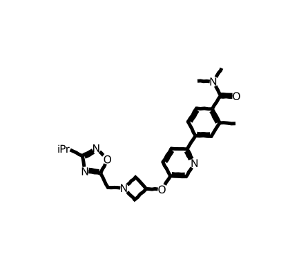 Cc1cc(-c2ccc(OC3CN(Cc4nc(C(C)C)no4)C3)cn2)ccc1C(=O)N(C)C